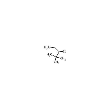 CCC([CH2][AlH2])C(C)(C)C